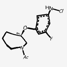 CC(=O)N1CCC[C@@H](Oc2cc(F)cc(NCl)c2)C1